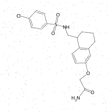 NC(=O)COc1ccc2c(c1)CCCC2CNS(=O)(=O)c1ccc(Cl)cc1